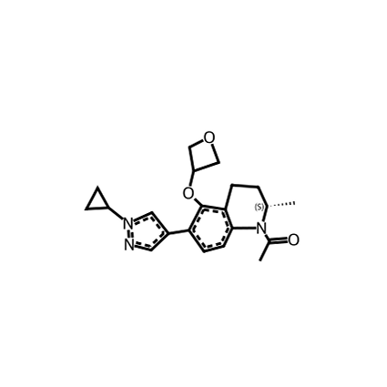 CC(=O)N1c2ccc(-c3cnn(C4CC4)c3)c(OC3COC3)c2CC[C@@H]1C